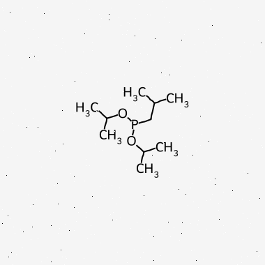 CC(C)CP(OC(C)C)OC(C)C